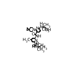 Cc1cc(NC(=O)c2ccc(NC(C)(C)CO)nc2N2CCC3(CC2)CC3)nc(S(=O)(=O)NC(C)(C)C)c1